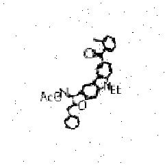 CCn1c2ccc(C(=O)c3ccccc3C)cc2c2cc3c(cc21)OC(CC1=CCCCC1)/C3=N\OC(C)=O